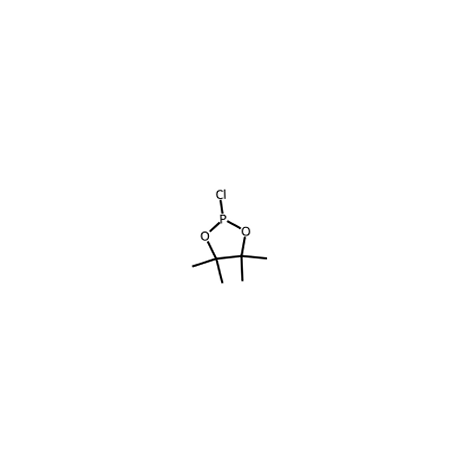 CC1(C)OP(Cl)OC1(C)C